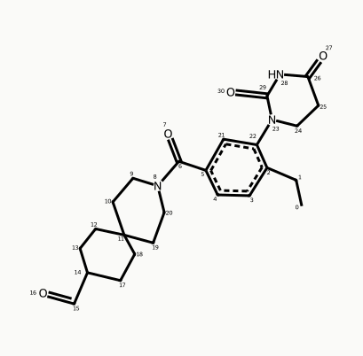 CCc1ccc(C(=O)N2CCC3(CCC(C=O)CC3)CC2)cc1N1CCC(=O)NC1=O